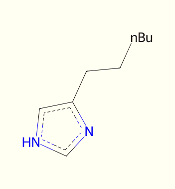 CCCCCCc1c[nH]cn1